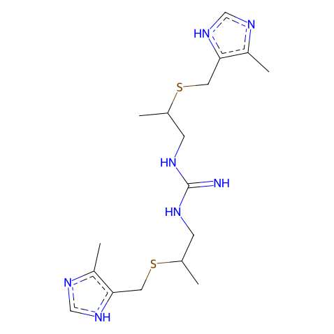 Cc1nc[nH]c1CSC(C)CNC(=N)NCC(C)SCc1[nH]cnc1C